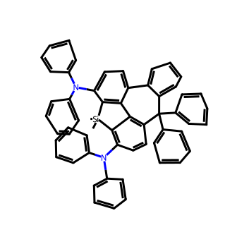 C[Si]1(C)c2c(N(c3ccccc3)c3ccccc3)ccc3c2-c2c(ccc(N(c4ccccc4)c4ccccc4)c21)C(c1ccccc1)(c1ccccc1)c1ccccc1-3